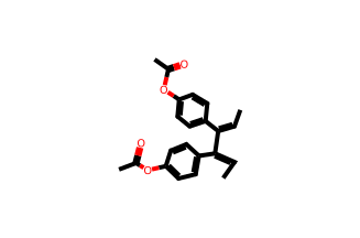 C/C=C(/C(=C/C)c1ccc(OC(C)=O)cc1)c1ccc(OC(C)=O)cc1